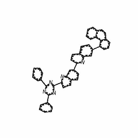 c1ccc(-c2nc(-c3ccccc3)nc(-c3ccc4ccc(-c5ccc6ccc(-c7cccc8ccc9ccccc9c78)cc6n5)cc4n3)n2)cc1